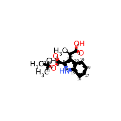 C[C@@H](C(=O)O)c1c(C(=O)OC(C)(C)C)[nH]c2ccccc12